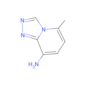 Cc1ccc(N)c2nncn12